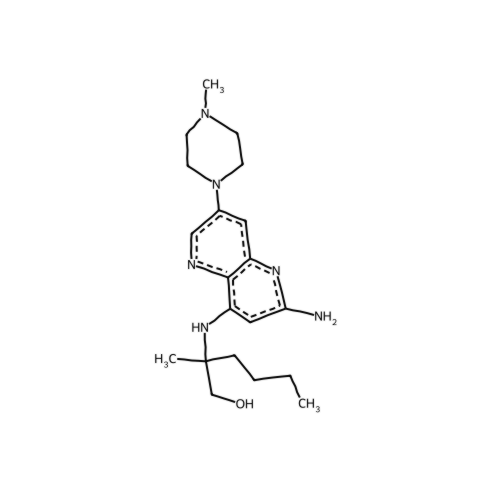 CCCCC(C)(CO)Nc1cc(N)nc2cc(N3CCN(C)CC3)cnc12